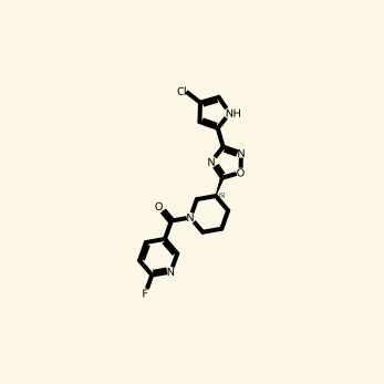 O=C(c1ccc(F)nc1)N1CCC[C@H](c2nc(-c3cc(Cl)c[nH]3)no2)C1